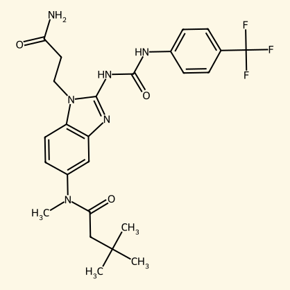 CN(C(=O)CC(C)(C)C)c1ccc2c(c1)nc(NC(=O)Nc1ccc(C(F)(F)F)cc1)n2CCC(N)=O